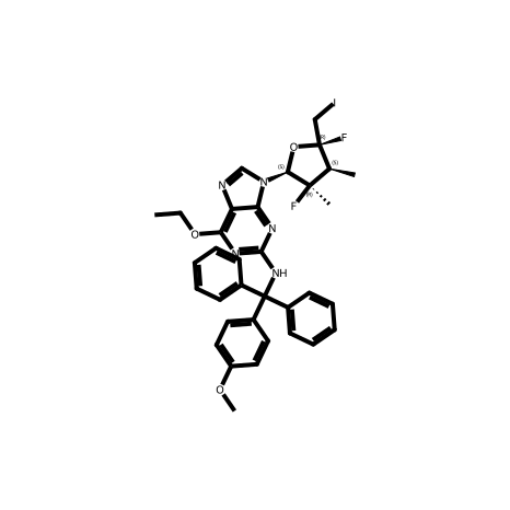 CCOc1nc(NC(c2ccccc2)(c2ccccc2)c2ccc(OC)cc2)nc2c1ncn2[C@H]1O[C@](F)(CI)[C@@H](C)[C@@]1(C)F